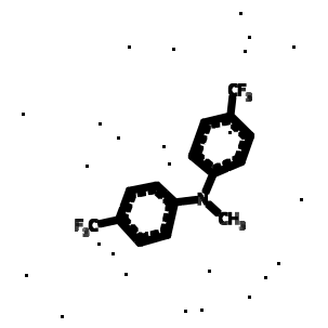 CN(c1ccc(C(F)(F)F)cc1)c1ccc(C(F)(F)F)cc1